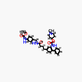 CN1CCC(OC(=O)Nc2cc(CCCC(=O)NCc3ccc(NC(=O)OC(C)(C)C)cc3)ccc2-c2ccccc2)CC1